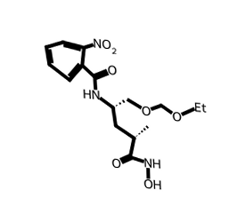 CCOCOC[C@H](C[C@H](C)C(=O)NO)NC(=O)c1ccccc1[N+](=O)[O-]